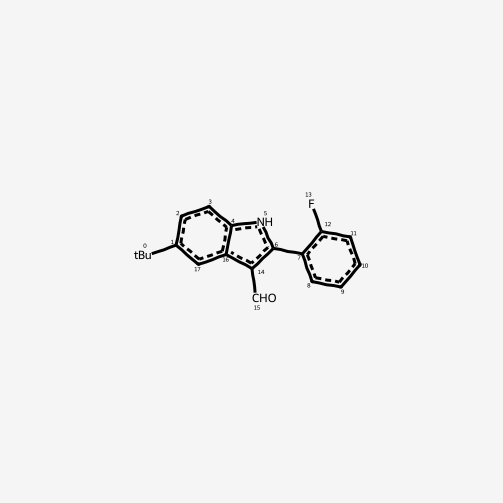 CC(C)(C)c1ccc2[nH]c(-c3ccccc3F)c(C=O)c2c1